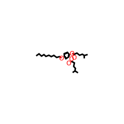 CCCCCCCCCCOc1ccc(OC(=O)CCCC(C)C)c(OC(=O)CCCC(C)C)c1